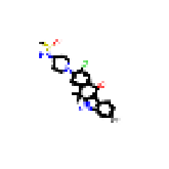 C[S+]([O-])NC1CCN(c2cc3c(cc2Cl)C(=O)c2c([nH]c4cc(C#N)ccc24)C3(C)C)CC1